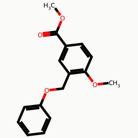 COC(=O)c1ccc(OC)c(COc2ccccc2)c1